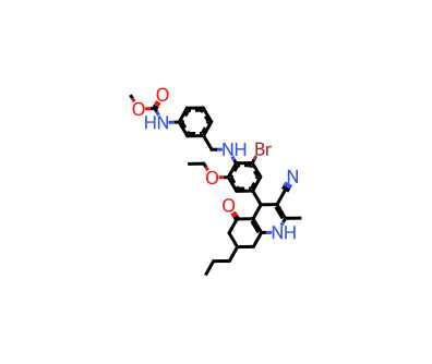 CCCC1CC(=O)C2=C(C1)NC(C)=C(C#N)C2c1cc(Br)c(NCc2cccc(NC(=O)OC)c2)c(OCC)c1